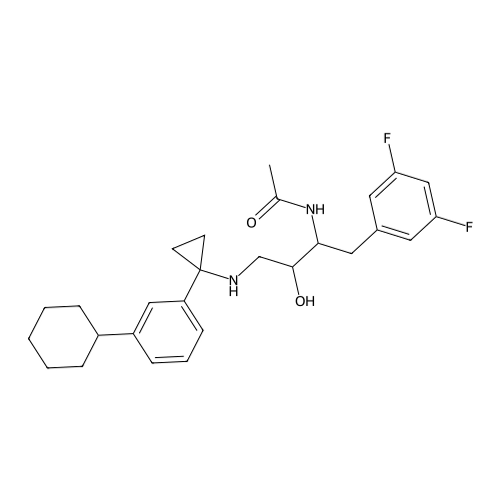 CC(=O)NC(Cc1cc(F)cc(F)c1)C(O)CNC1(c2cccc(C3CCCCC3)c2)CC1